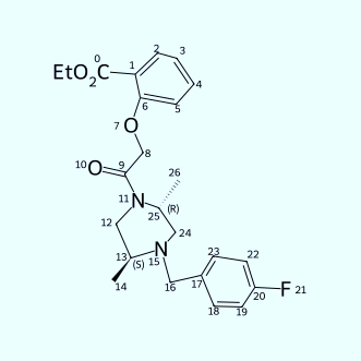 CCOC(=O)c1ccccc1OCC(=O)N1C[C@H](C)N(Cc2ccc(F)cc2)C[C@H]1C